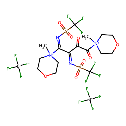 C[N+]1(C(=O)C(=O)C(=NS(=O)(=O)C(F)(F)F)C(=NS(=O)(=O)C(F)(F)F)[N+]2(C)CCOCC2)CCOCC1.F[B-](F)(F)F.F[B-](F)(F)F